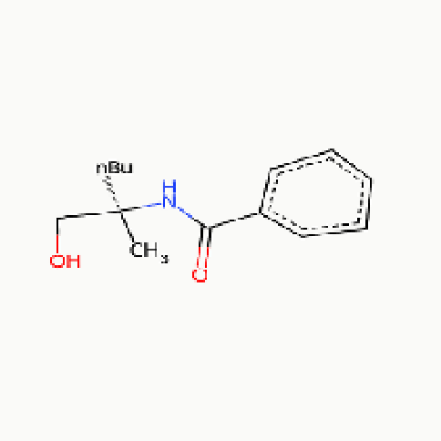 CCCC[C@](C)(CO)NC(=O)c1ccccc1